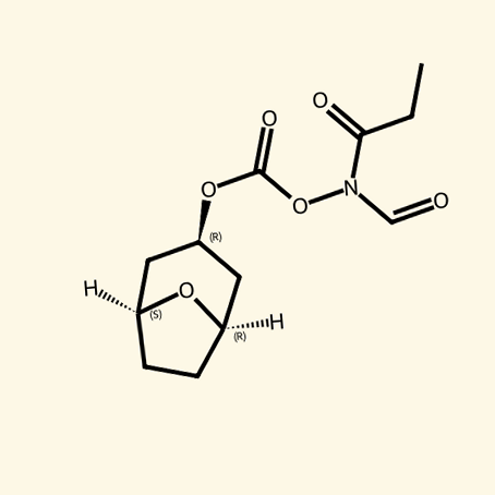 CCC(=O)N(C=O)OC(=O)O[C@H]1C[C@H]2CC[C@@H](C1)O2